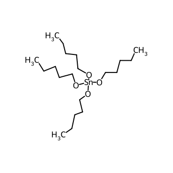 CCCCC[O][Sn]([O]CCCCC)([O]CCCCC)[O]CCCCC